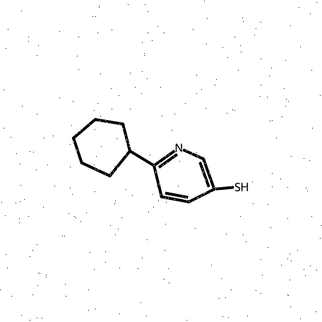 Sc1ccc(C2CCCCC2)nc1